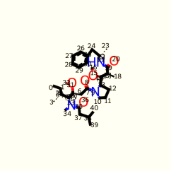 CC[C@@H](C)[C@H]([C@H](CC(=O)N1CCCC1[C@@H](OC)[C@H](C)C(=O)N[C@@H](C)Cc1ccccc1)OC)N(C)C(=O)CC(C)C